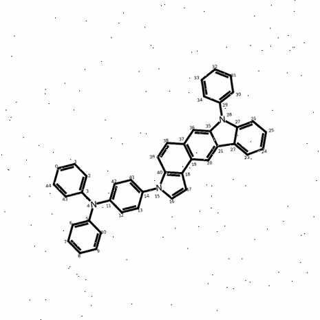 c1ccc(N(c2ccccc2)c2ccc(-n3ccc4c5cc6c7ccccc7n(-c7ccccc7)c6cc5ccc43)cc2)cc1